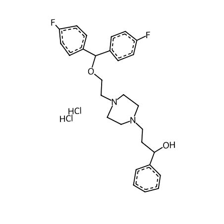 Cl.Cl.OC(CCN1CCN(CCOC(c2ccc(F)cc2)c2ccc(F)cc2)CC1)c1ccccc1